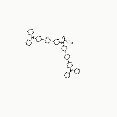 CC(=O)N(c1ccc(-c2ccc(-c3ccc(N(c4ccccc4)c4ccccc4)cc3)cc2)cc1)c1ccc(-c2ccc(-c3ccc(N(c4ccccc4)c4ccccc4)cc3)cc2)cc1